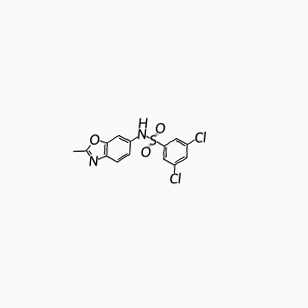 Cc1nc2ccc(NS(=O)(=O)c3cc(Cl)cc(Cl)c3)cc2o1